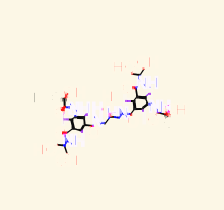 C[C@H](O)C(=O)Nc1c(I)c(C(=O)NCC(O)CNC(=O)c2c(I)c(NC(=O)[C@@H](C)O)c(I)c(C(=O)NC(CO)CO)c2I)c(I)c(C(=O)NC(CO)CO)c1I